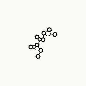 c1ccc(-c2cccc(-c3cc(-n4c5ccccc5c5c(-c6cccc7c6CCC(c6ccccc6)c6ccccc6-7)cccc54)cc4c3sc3ccccc34)c2)cc1